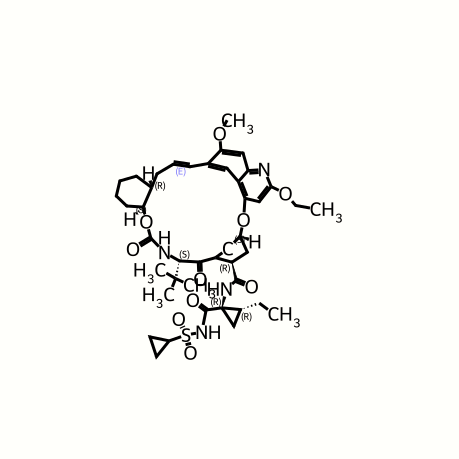 CCOc1cc2c3cc(c(OC)cc3n1)/C=C/C[C@H]1CCCC[C@@H]1OC(=O)N[C@@H](C(C)(C)C)C(=O)C1C[C@@H](C[C@H]1C(=O)N[C@]1(C(=O)NS(=O)(=O)C3CC3)C[C@H]1CC)O2